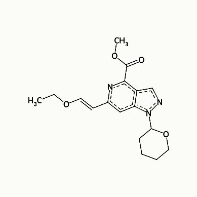 CCO/C=C/c1cc2c(cnn2C2CCCCO2)c(C(=O)OC)n1